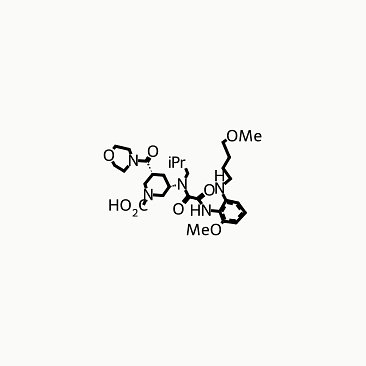 COCCCCNc1cccc(OC)c1NC(=O)C(=O)N(CC(C)C)[C@H]1C[C@@H](C(=O)N2CCOCC2)CN(C(=O)O)C1